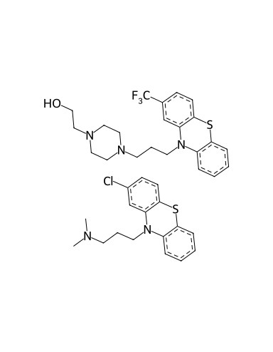 CN(C)CCCN1c2ccccc2Sc2ccc(Cl)cc21.OCCN1CCN(CCCN2c3ccccc3Sc3ccc(C(F)(F)F)cc32)CC1